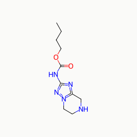 CCCCOC(=O)Nc1nc2n(n1)CCNC2